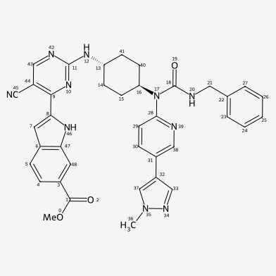 COC(=O)c1ccc2cc(-c3nc(N[C@H]4CC[C@H](N(C(=O)NCc5ccccc5)c5ccc(-c6cnn(C)c6)cn5)CC4)ncc3C#N)[nH]c2c1